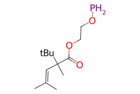 CC(C)=CC(C)(C(=O)OCCOP)C(C)(C)C